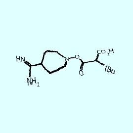 CC(C)(C)C(C(=O)O)C(=O)ON1CCC(C(=N)N)CC1